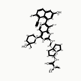 C#Cc1c(F)ccc2cc(O)cc(-c3ncc4c(N5CCC[C@@](C)(O)C5)nc(OC[C@]56CCCN5[C@@H](OC(=O)N(C)CC)CC6)nc4c3F)c12